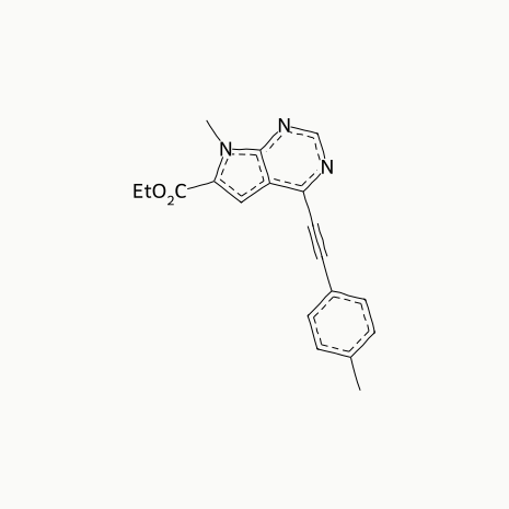 CCOC(=O)c1cc2c(C#Cc3ccc(C)cc3)ncnc2n1C